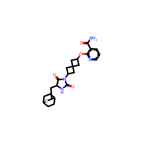 NC(=O)c1cccnc1OC1CC2(C1)CC(N1C(=O)NC(CC3CC4CCC3CC4)C1=O)C2